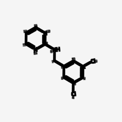 Clc1cc(Cl)cc(CNc2ncccn2)c1